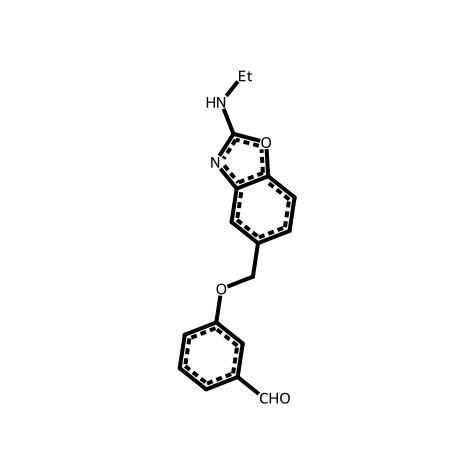 CCNc1nc2cc(COc3cccc(C=O)c3)ccc2o1